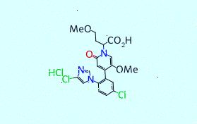 COCCC(C(=O)O)n1cc(OC)c(-c2cc(Cl)ccc2-n2cnc(Cl)c2)cc1=O.Cl